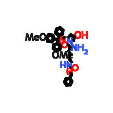 COc1ccc(C(OC[C@@H]2C[C@@H](O)CN2C(=O)[C@@H](N)CCCCNC(=O)OCc2ccccc2)(c2ccccc2)c2ccc(OC)cc2)cc1